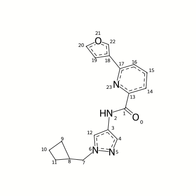 O=C(Nc1cnn(CC2CCC2)c1)c1cccc(-c2ccoc2)n1